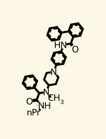 CCCNC(=O)C(c1ccccc1)N(C)C1CCN(c2ccc(NC(=O)c3ccccc3-c3ccccc3)cc2)CC1